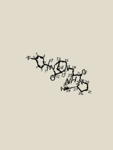 CC(C)(c1ccc(F)cc1)N1C(=O)C2CC1CN2CC(N)C(=O)N1CCC[C@H]1C#N